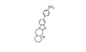 Cc1ccc(-c2ccc3c(c2)nc2n3CCN3CCCC[C@@H]3C2)cc1